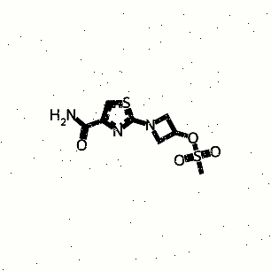 CS(=O)(=O)OC1CN(c2nc(C(N)=O)cs2)C1